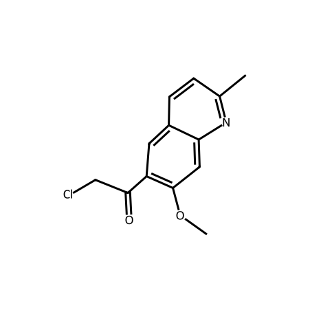 COc1cc2nc(C)ccc2cc1C(=O)CCl